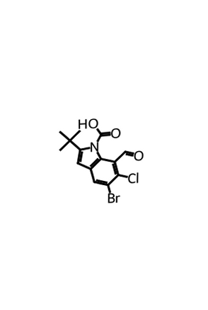 CC(C)(C)c1cc2cc(Br)c(Cl)c(C=O)c2n1C(=O)O